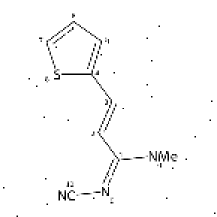 CNC(/C=C/c1cccs1)=N/C#N